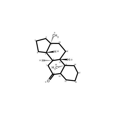 C[C@@]12CCC[C@H]1[C@@H]1CC(=O)C3CCCC[C@]3(C)[C@H]1CC2